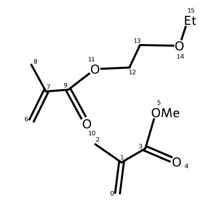 C=C(C)C(=O)OC.C=C(C)C(=O)OCCOCC